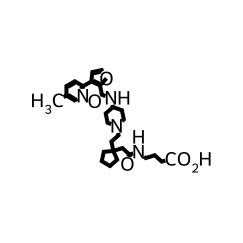 Cc1ccc(-c2ccoc2C(=O)NC2CCN(CCC3(CC(=O)NCCCC(=O)O)CCCC3)CC2)nc1